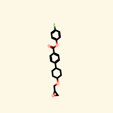 O=C(Oc1ccc(F)cc1)c1ccc(C2CCC(OCC3CO3)CC2)cc1